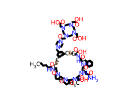 CCCCCC(=O)N[C@H]1CSCc2cc(cc(CN3CCN(C(=O)CN4CCN(CC(=O)O)CCN(CC(=O)O)CCN(CC(=O)O)CC4)CC3)c2)CSC[C@@H](C(=O)O)NC(=O)[C@H](Cc2ccccc2)NC(=O)[C@H](CCC(N)=O)NC(=O)[C@H]([C@@H](C)O)NC(=O)C2CCCN2C(=O)[C@@H]2CCCN2C1=O